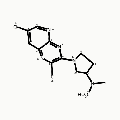 CN(C(=O)O)C1CCN(c2nc3ncc(Cl)cc3nc2Cl)C1